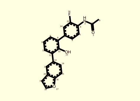 CC(=O)Nc1ccc(-c2cccc(-c3ccc4occc4c3)c2O)cc1F